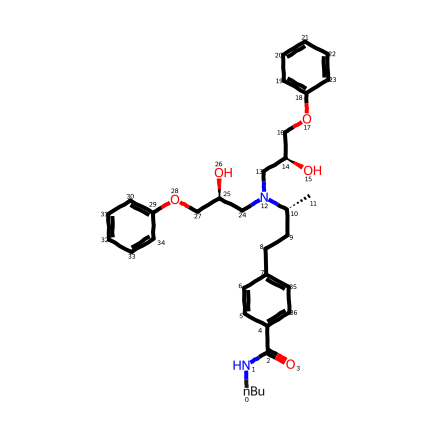 CCCCNC(=O)c1ccc(CC[C@@H](C)N(C[C@H](O)COc2ccccc2)C[C@H](O)COc2ccccc2)cc1